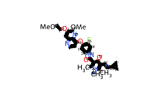 COCCOc1cc2nccc(Oc3ccc(NC(=O)c4c(C)n(C)c(C)c(/C=C/C5CC5)c4=O)cc3F)c2nc1OC